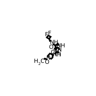 C=CC(=O)N1CCC(C)(Nc2cnc3[nH]cc(C(=O)NCC4CC(F)(F)C4)c3n2)CC1